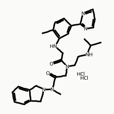 Cc1ccc(-c2ncccn2)cc1NCC(=O)N(CCNC(C)C)CC(=O)N(C)N1Cc2ccccc2C1.Cl.Cl